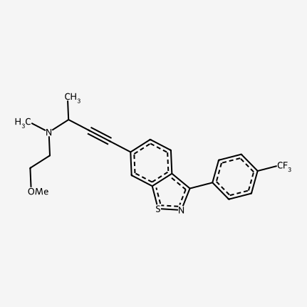 COCCN(C)C(C)C#Cc1ccc2c(-c3ccc(C(F)(F)F)cc3)nsc2c1